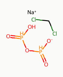 ClCCl.O=[PH]([O-])O[PH](=O)O.[Na+]